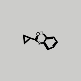 O=C(Sc1ccccc1Cl)C1CC1